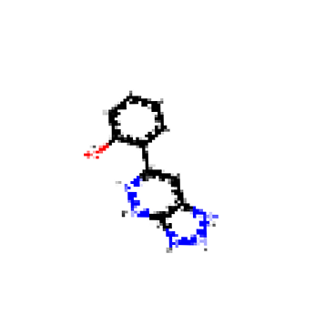 Oc1ccccc1-c1cc2[nH]nnc2nn1